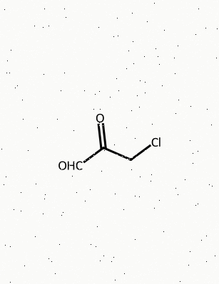 O=CC(=O)CCl